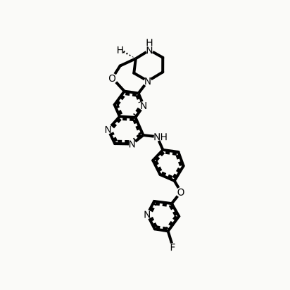 Fc1cncc(Oc2ccc(Nc3ncnc4cc5c(nc34)N3CCN[C@H](CO5)C3)cc2)c1